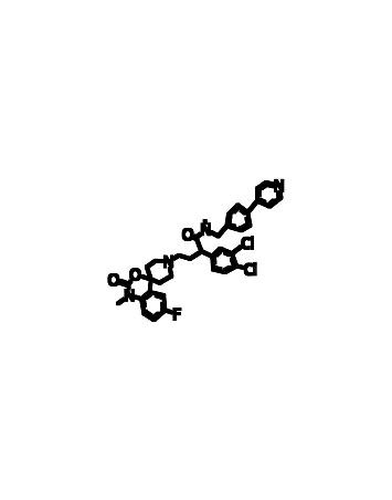 CN(Cc1ccc(-c2ccncc2)cc1)C(=O)C(CCN1CCC2(CC1)OC(=O)N(C)c1ccc(F)cc12)c1ccc(Cl)c(Cl)c1